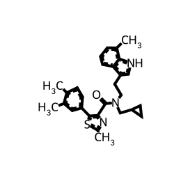 Cc1nc(C(=O)N(CCc2c[nH]c3c(C)cccc23)CC2CC2)c(-c2ccc(C)c(C)c2)s1